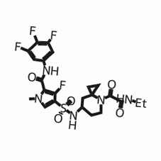 CCNC(=O)C(=O)N1CCC(NS(=O)(=O)c2cn(C)c(C(=O)Nc3cc(F)c(F)c(F)c3)c2F)CC12CC2